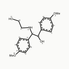 COc1ccc(C(O)C(NCCO)c2ccc(OC)cc2)cc1